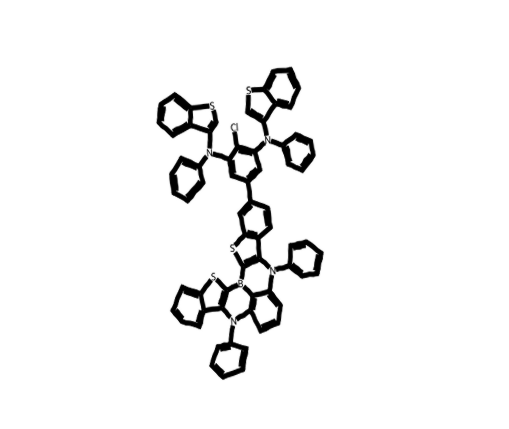 Clc1c(N(c2ccccc2)c2csc3ccccc23)cc(-c2ccc3c4c(sc3c2)B2c3sc5ccccc5c3N(c3ccccc3)c3cccc(c32)N4c2ccccc2)cc1N(c1ccccc1)c1csc2ccccc12